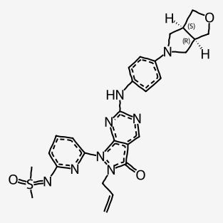 C=CCn1c(=O)c2cnc(Nc3ccc(N4C[C@H]5COC[C@H]5C4)cc3)nc2n1-c1cccc(N=S(C)(C)=O)n1